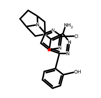 Nc1nnc(-c2ccccc2O)cc1N1CC2CCC(C1)N2c1ccnc(Cl)n1